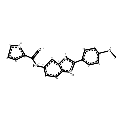 COc1ccc(-c2nc3cc(NC(=O)c4cccs4)ccc3o2)cc1